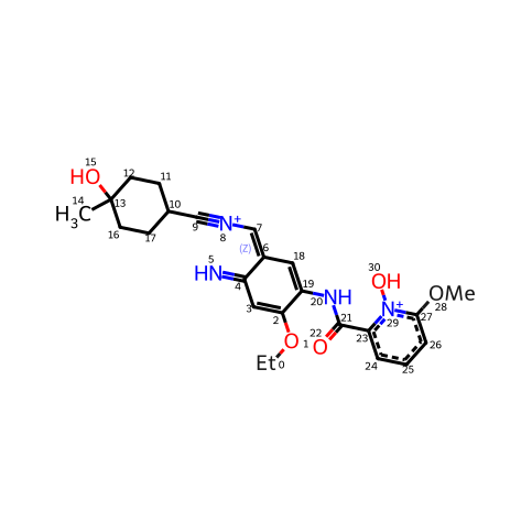 CCOC1=CC(=N)/C(=C\[N+]#CC2CCC(C)(O)CC2)C=C1NC(=O)c1cccc(OC)[n+]1O